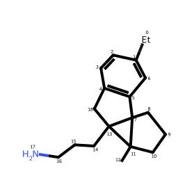 CCc1ccc2c(c1)C13CCCC1(C)C3(CCCN)C2